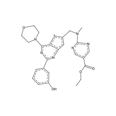 CCOC(=O)c1cnc(N(C)Cc2cc3nc(-c4cccc(O)c4)nc(N4CCOCC4)c3s2)nc1